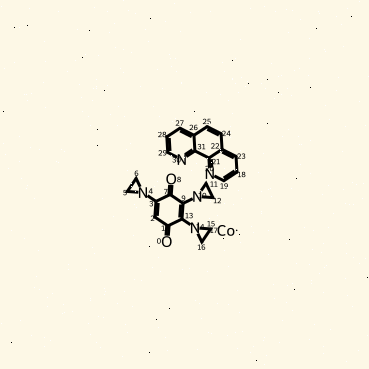 O=C1C=C(N2CC2)C(=O)C(N2CC2)=C1N1CC1.[Co].c1cnc2c(c1)ccc1cccnc12